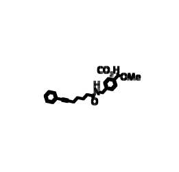 COC(C(=O)O)c1ccc(CNC(=O)CCCCC#Cc2ccccc2)cc1